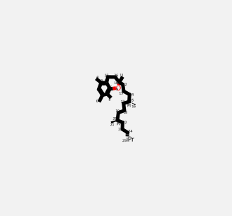 Cc1cc(C)c2c(c1C)OC(C)(CCC[C@H](C)CCC[C@H](C)CCCC(C)C)CC2